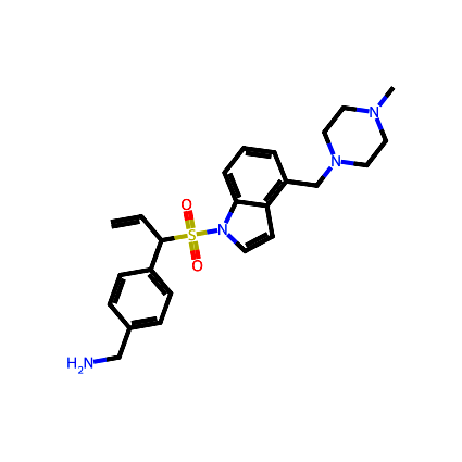 C=CC(c1ccc(CN)cc1)S(=O)(=O)n1ccc2c(CN3CCN(C)CC3)cccc21